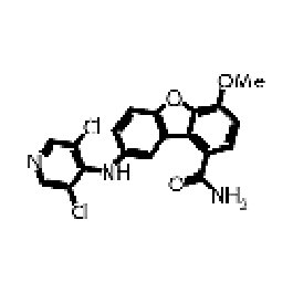 COc1ccc(C(N)=O)c2c1oc1ccc(Nc3c(Cl)cncc3Cl)cc12